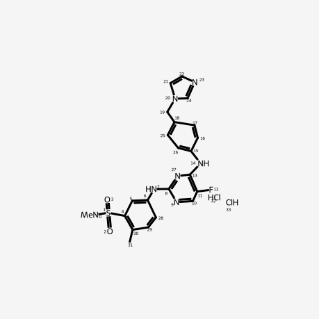 CNS(=O)(=O)c1cc(Nc2ncc(F)c(Nc3ccc(Cn4ccnc4)cc3)n2)ccc1C.Cl.Cl